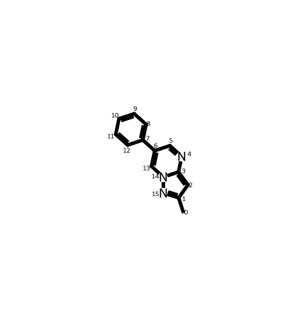 Cc1cc2ncc(-c3ccccc3)cn2n1